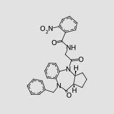 O=C(NCC(=O)N1c2ccccc2N(Cc2ccccc2)C(=O)[C@H]2CCC[C@H]21)c1ccccc1[N+](=O)[O-]